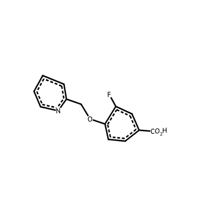 O=C(O)c1ccc(OCc2ccccn2)c(F)c1